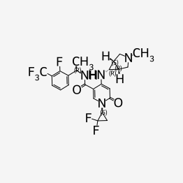 C[C@@H](NC(=O)c1cn([C@H]2CC2(F)F)c(=O)cc1N[C@@H]1[C@@H]2CN(C)C[C@@H]21)c1cccc(C(F)(F)F)c1F